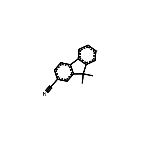 CC1(C)c2c[c]ccc2-c2ccc(C#N)cc21